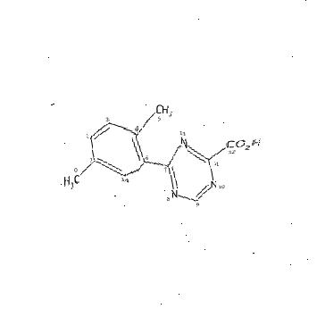 Cc1ccc(C)c(-c2ncnc(C(=O)O)n2)c1